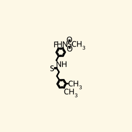 Cc1ccc(CCC(=S)NCc2ccc(NS(C)(=O)=O)c(F)c2)cc1C